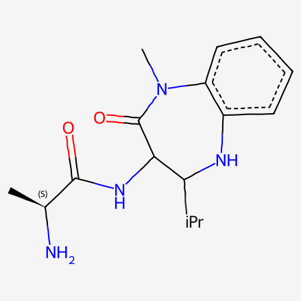 CC(C)C1Nc2ccccc2N(C)C(=O)C1NC(=O)[C@H](C)N